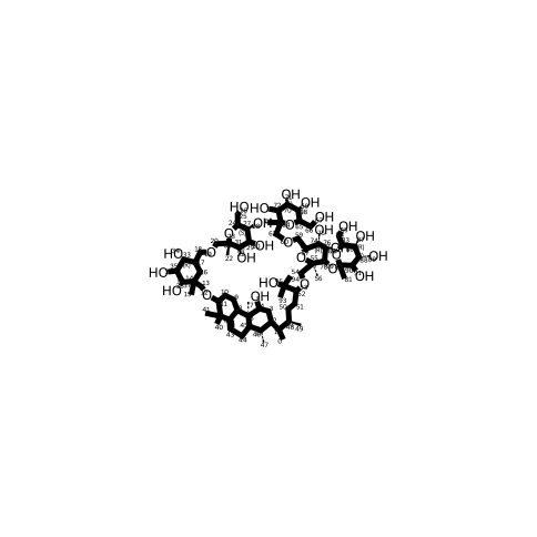 CC(C1CC(O)[C@]2(C)C3CCC(OCC4(C)CC(COC[C@]5(C)OC(CO)[C@@H](O)C(O)[C@@H]5O)[C@@H](O)C(O)[C@@H]4O)C(C)(C)C3=CCC2[C@H]1C)[C@H](C)CCC(OC[C@@]1(C)OC(COCC2(C)OC(CO)[C@H](O)[C@H](O)C2O)[C@H](O)[C@H](O)C1OC1(C)OC(CO)[C@H](O)[C@H](O)C1O)C(C)(C)O